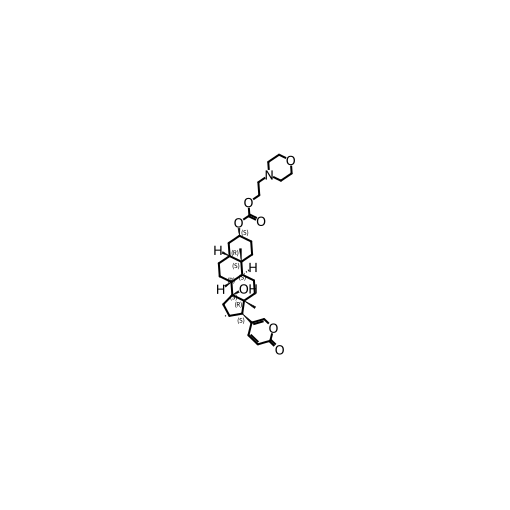 C[C@]12CC[C@H](OC(=O)OCCN3CCOCC3)C[C@H]1CC[C@@H]1[C@@H]2CC[C@]2(C)[C@@H](c3ccc(=O)oc3)[CH]C[C@]12O